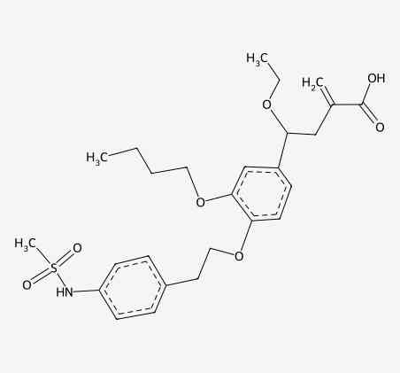 C=C(CC(OCC)c1ccc(OCCc2ccc(NS(C)(=O)=O)cc2)c(OCCCC)c1)C(=O)O